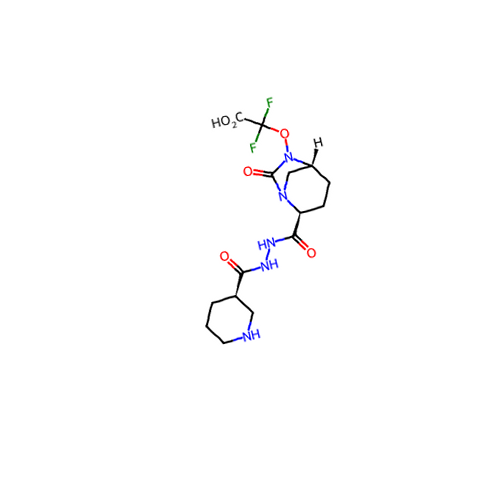 O=C(NNC(=O)[C@@H]1CC[C@@H]2CN1C(=O)N2OC(F)(F)C(=O)O)[C@@H]1CCCNC1